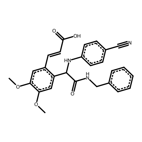 COc1cc(C=CC(=O)O)c(C(Nc2ccc(C#N)cc2)C(=O)NCc2ccccc2)cc1OC